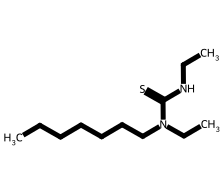 CCCCCCCN(CC)C(=S)NCC